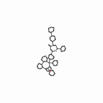 C=C1C=C(c2ccc(C3(c4ccccc4)c4ccccc4-c4ccccc4-c4cccc3c4-c3ccccc3)cc2)N=C(c2ccccc2)C=C1c1ccc(-c2ccccc2)cc1